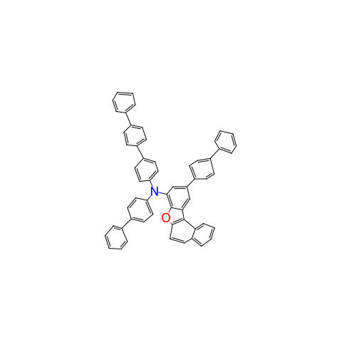 c1ccc(-c2ccc(-c3ccc(N(c4ccc(-c5ccccc5)cc4)c4cc(-c5ccc(-c6ccccc6)cc5)cc5c4oc4ccc6ccccc6c45)cc3)cc2)cc1